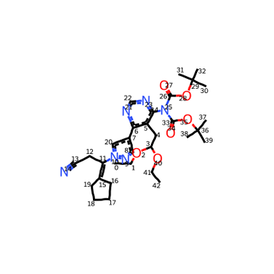 CCOC(Cc1c(-c2cnn(C(CC#N)=C3CCCC3)c2)ncnc1N(C(=O)OC(C)(C)C)C(=O)OC(C)(C)C)OCC